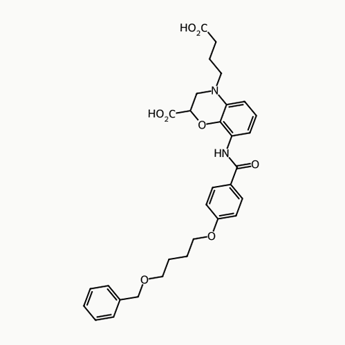 O=C(O)CCCN1CC(C(=O)O)Oc2c(NC(=O)c3ccc(OCCCCOCc4ccccc4)cc3)cccc21